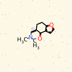 CN(C)/C=C1/CCc2occc2C1=O